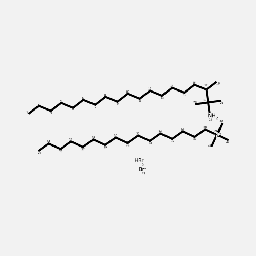 Br.CCCCCCCCCCCCCCCCC(C)C(C)(C)N.CCCCCCCCCCCCCCCC[N+](C)(C)C.[Br-]